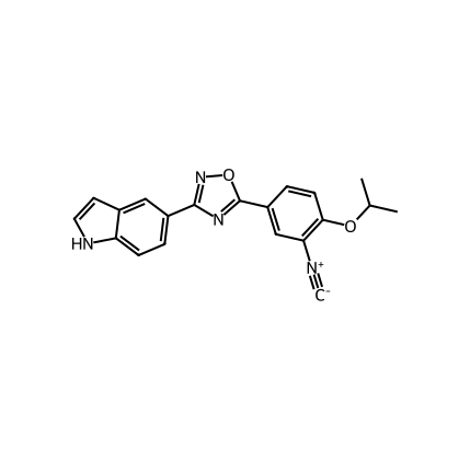 [C-]#[N+]c1cc(-c2nc(-c3ccc4[nH]ccc4c3)no2)ccc1OC(C)C